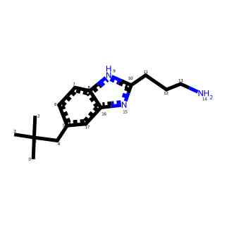 CC(C)(C)Cc1ccc2[nH]c(CCCN)nc2c1